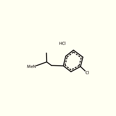 CNC(C)Cc1cccc(Cl)c1.Cl